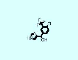 OC(c1ccc(Cl)c(C(F)(F)F)c1)c1c[nH]cn1